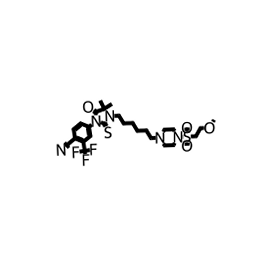 COCCS(=O)(=O)N1CCN(CCCCCCN2C(=S)N(c3ccc(C#N)c(C(F)(F)F)c3)C(=O)C2(C)C)CC1